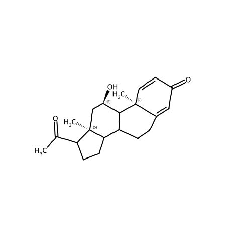 CC(=O)C1CCC2C3CCC4=CC(=O)C=C[C@]4(C)C3[C@H](O)C[C@]12C